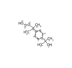 CC(C)(O)c1ccc(C(C)(C)OOO)cc1